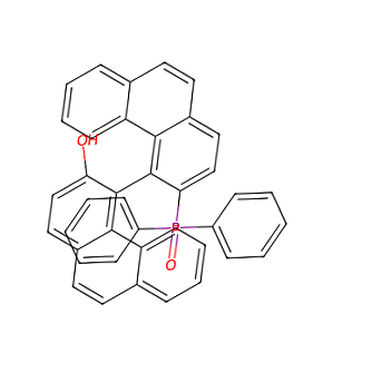 O=P(c1ccccc1)(c1ccccc1)c1ccc2ccc3ccccc3c2c1-c1c(O)ccc2ccc3ccccc3c12